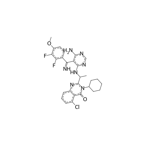 COc1ccc(C(=N)c2c(N)ncnc2NC(C)c2nc3cccc(Cl)c3c(=O)n2C2CCCCC2)c(F)c1F